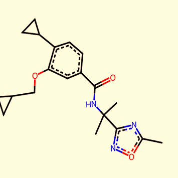 Cc1nc(C(C)(C)NC(=O)c2ccc(C3CC3)c(OCC3CC3)c2)no1